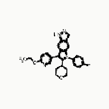 Fc1ccc(-n2c(C3CCOCC3)c(-c3ccc(OCC(F)(F)F)nc3)c3cc4[nH]ncc4cc32)cc1